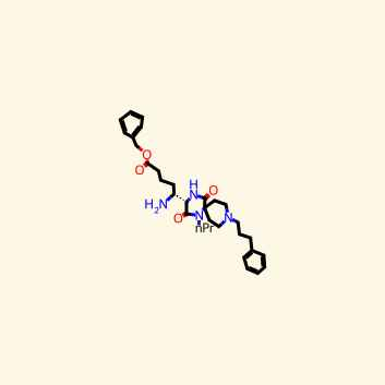 CCCN1C(=O)[C@H](C(N)CCCC(=O)OCc2ccccc2)NC(=O)C12CCN(CCCc1ccccc1)CC2